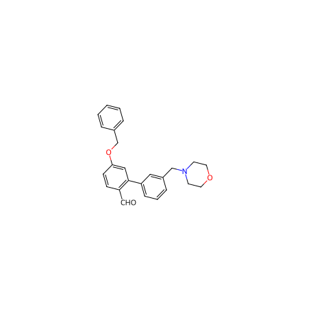 O=Cc1ccc(OCc2ccccc2)cc1-c1cccc(CN2CCOCC2)c1